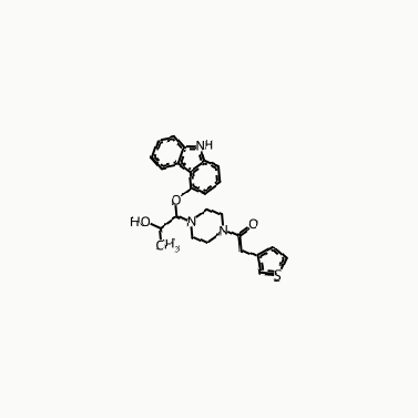 CC(O)C(Oc1cccc2[nH]c3ccccc3c12)N1CCN(C(=O)Cc2ccsc2)CC1